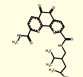 CNC(=O)c1ccc2c(n1)-c1nc(C(=O)NCC(CC(C)C)C(C)C)ccc1C(=O)C2=O